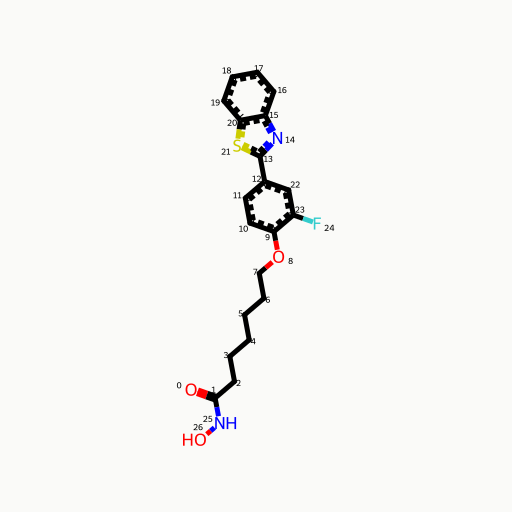 O=C(CCCCCCOc1ccc(-c2nc3ccccc3s2)cc1F)NO